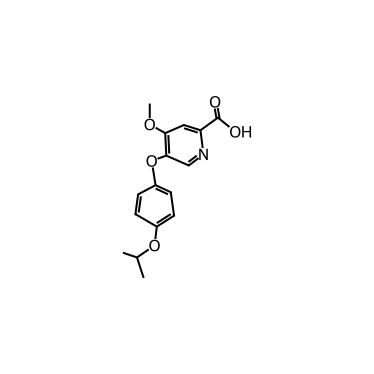 COc1cc(C(=O)O)ncc1Oc1ccc(OC(C)C)cc1